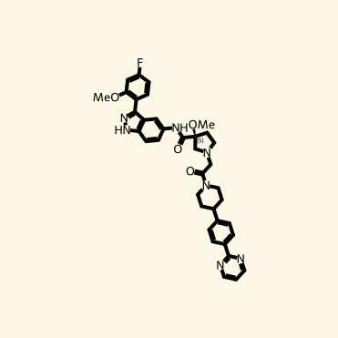 COc1cc(F)ccc1-c1n[nH]c2ccc(NC(=O)[C@]3(OC)CCN(CC(=O)N4CCC(c5ccc(-c6ncccn6)cc5)CC4)C3)cc12